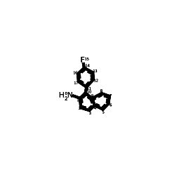 Nc1ccc2ccccc2c1-c1ccc(F)cc1